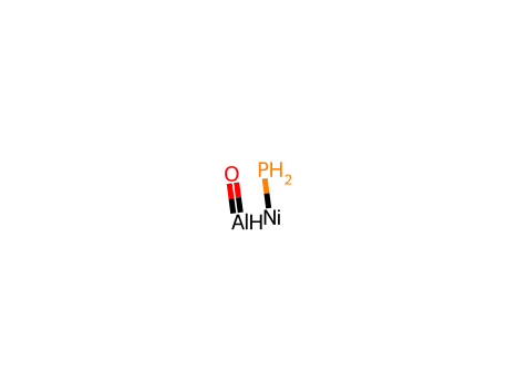 [O]=[AlH].[PH2][Ni]